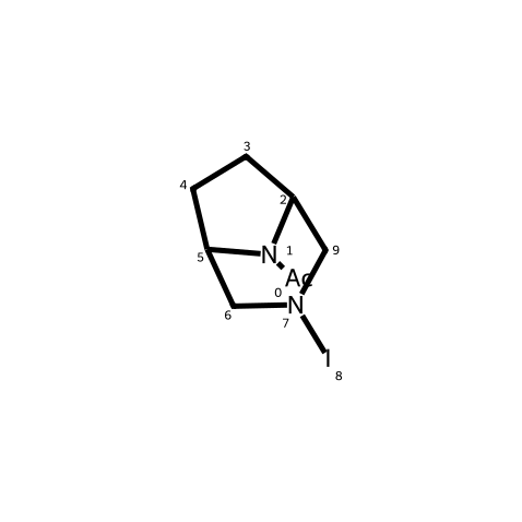 CC(=O)N1C2CCC1CN(I)C2